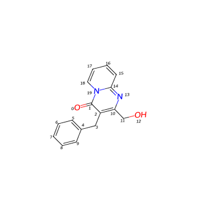 O=c1c(Cc2ccccc2)c(CO)nc2ccccn12